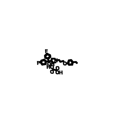 CCc1ccc(OCCCN2CCC(C(O)(c3ccc(F)cc3)c3ccc(F)cc3)CC2)cc1.O=C(O)C(=O)O